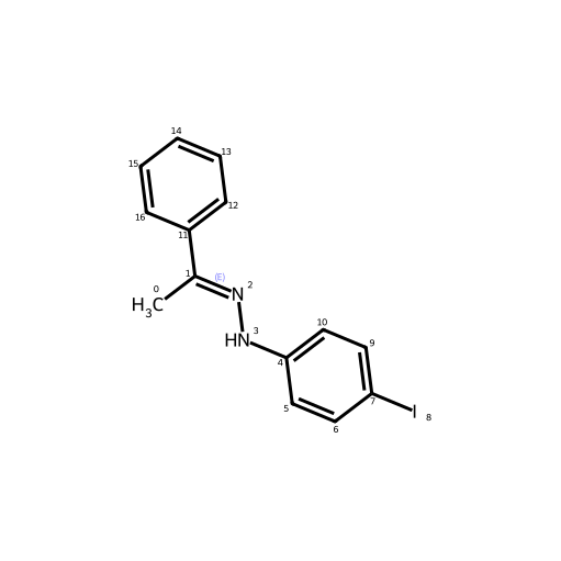 C/C(=N\Nc1ccc(I)cc1)c1ccccc1